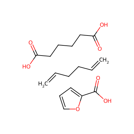 C=CCCC=C.O=C(O)CCCCC(=O)O.O=C(O)c1ccco1